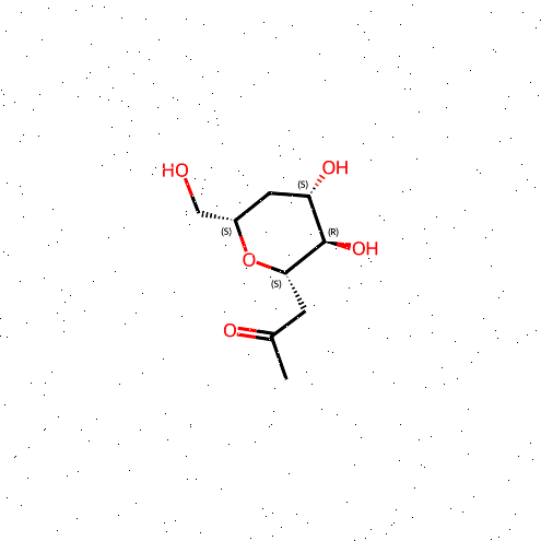 CC(=O)C[C@@H]1O[C@H](CO)C[C@H](O)[C@H]1O